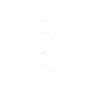 CN(C)c1cccc(S(=O)(=O)Nc2ccc(Cl)cc2[N+](=O)[O-])c1